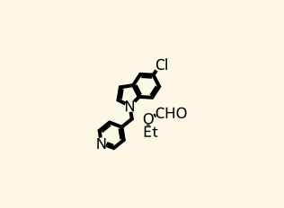 CCOC=O.Clc1ccc2c(ccn2Cc2ccncc2)c1